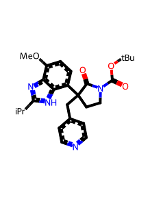 COc1ccc(C2(Cc3ccncc3)CCN(C(=O)OC(C)(C)C)C2=O)c2[nH]c(C(C)C)nc12